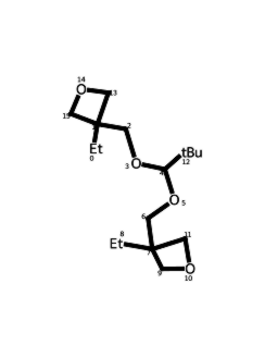 CCC1(COC(OCC2(CC)COC2)C(C)(C)C)COC1